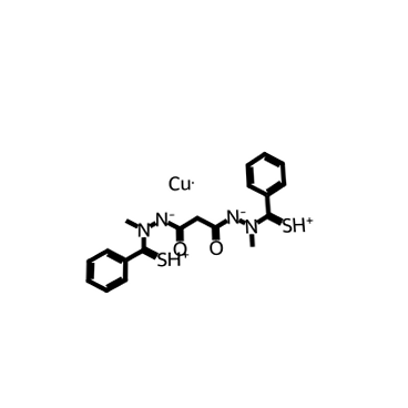 CN([N-]C(=O)CC(=O)[N-]N(C)C(=[SH+])c1ccccc1)C(=[SH+])c1ccccc1.[Cu]